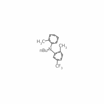 CCCCN(c1ccccc1C)c1cc(C(F)(F)F)ccc1C